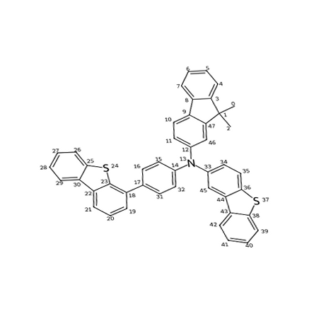 CC1(C)c2ccccc2-c2ccc(N(c3ccc(-c4cccc5c4sc4ccccc45)cc3)c3ccc4sc5ccccc5c4c3)cc21